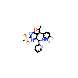 Cc1oc2nc(S(C)(=O)=O)nc(C(N)c3ccccn3)c2c1-c1ccc(F)cc1